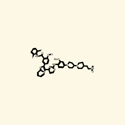 CCOc1ccc(-c2nc3ccccn3c2-c2ccnc(Nc3ccc(N4CCC(N5CCC(CC[SH](=O)=O)CC5)CC4)cc3OC)n2)cc1C(=O)Nc1c(F)cccc1F